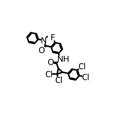 CN(C(=O)c1cc(NC(=O)C2C(c3ccc(Cl)c(Cl)c3)C2(Cl)Cl)ccc1F)c1ccccc1